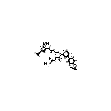 C=C(F)CCC(=O)N(CCCCCc1cc(C2CC2)nn1C)c1cc(-c2ccc(OC(F)F)cc2)ccn1